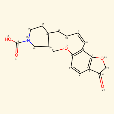 COc1ccc2c(c1/C=C\CCC1CCN(C(=O)O)CC1)OCC2=O